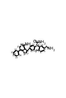 NCc1ccc(F)c(N(C(N)=O)c2ccc(-c3csc4c(-c5ccncc5)cnc(N)c34)cc2)c1